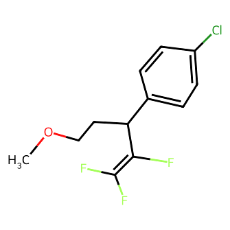 COCCC(C(F)=C(F)F)c1ccc(Cl)cc1